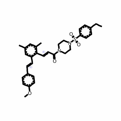 CCc1ccc(S(=O)(=O)N2CCN(C(=O)/C=C/c3c(C)cc(C)cc3/C=C/c3ccc(OC)cc3)CC2)cc1